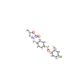 C[C@@H]1CN(Cc2ccc(COc3ccc(F)cc3F)cc2)C(=O)O1